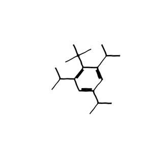 CC(C)c1cc(C(C)C)c(C(C)(C)C)c(C(C)C)c1